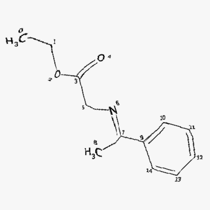 CCOC(=O)C/N=C(\C)c1ccccc1